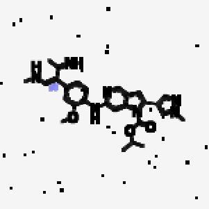 CN/C=C(\C(C)=N)c1ccc(Nc2cc3c(cn2)cc(-c2cnn(C)c2)n3C(=O)OC(C)C)c(OC)c1